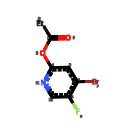 CCC(=O)Oc1cc(Br)c(F)cn1